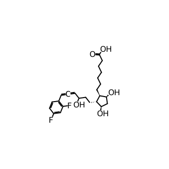 O=C(O)CCCCCC[C@@H]1[C@@H](CCC(O)C=C=Cc2ccc(F)cc2F)[C@H](O)C[C@@H]1O